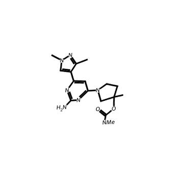 CNC(=O)OC1(C)CCN(c2cc(-c3cn(C)nc3C)nc(N)n2)C1